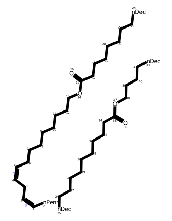 CCCCC/C=C\C/C=C\CCCCCCCCOC(=O)CCCCCCCCCCCCCCCCC.CCCCCCCCCCCCCCCCCCCC(=O)OCCCCCCCCCCCCCC